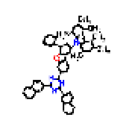 Bc1cc(B)c2c(c1B)c1c(B)c(B)cc(B)c1n2-c1cc(-c2ccccc2)c2oc3cc(-c4nc(-c5ccc6ccccc6c5)nc(-c5ccc6ccccc6c5)n4)ccc3c2c1